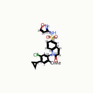 COc1cc(C2CC2)c(Cl)cc1-n1c(=O)ccc2cc(S(=O)(=O)Nc3ccon3)ccc21